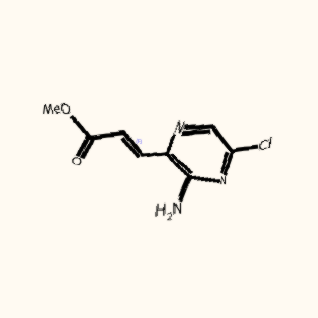 COC(=O)/C=C/c1ncc(Cl)nc1N